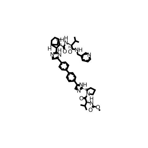 COC(=O)N[C@H](C(=O)N1CCC[C@H]1c1ncc(-c2ccc(-c3ccc(-c4cnc(C5[C@H]6CC[C@H](C6)[C@H]5C(=O)N[C@H](C(=O)NCc5cccnc5)C(C)C)[nH]4)cc3)cc2)[nH]1)C(C)C